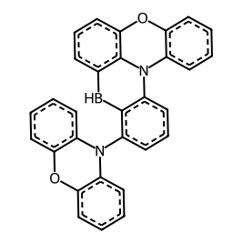 B1c2cccc3c2N(c2ccccc2O3)c2cccc(N3c4ccccc4Oc4ccccc43)c21